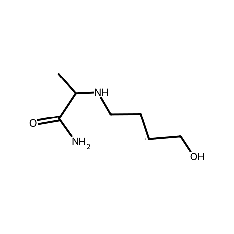 CC(NCC[CH]CO)C(N)=O